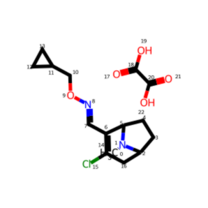 CN1C2CCC1C(C=NOCC1CC1)=C(Cl)C2.O=C(O)C(=O)O